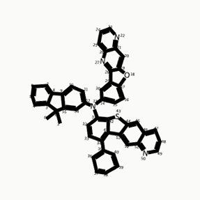 CC1(C)c2ccccc2-c2ccc(N(c3ccc4oc5cc6ncccc6nc5c4c3)c3ccc(-c4ccccc4)c4c3sc3cc5cccnc5cc34)cc21